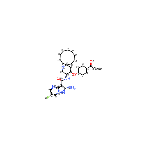 COC(=O)[C@H]1CC[C@H](OC2CC3(CCCCCCCCC3)NCC2NC(=O)c2c(N)nn3cc(F)cnc23)CC1